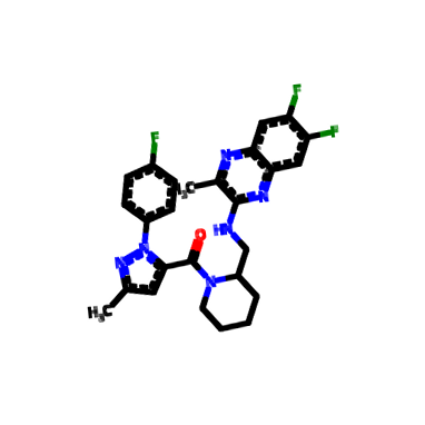 Cc1cc(C(=O)N2CCCCC2CNc2nc3cc(F)c(F)cc3nc2C)n(-c2ccc(F)cc2)n1